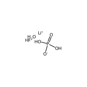 F.O.O=P([O-])(O)O.[Li+]